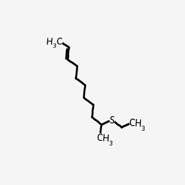 CC=CCCCCCCC(C)SCC